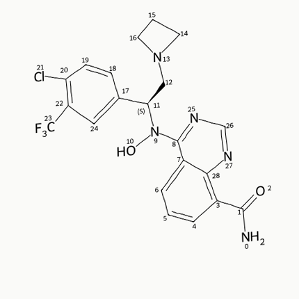 NC(=O)c1cccc2c(N(O)[C@H](CN3CCC3)c3ccc(Cl)c(C(F)(F)F)c3)ncnc12